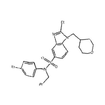 CCc1ccc(N(CC(C)C)S(=O)(=O)c2ccc3c(c2)nc(CC)n3CC2CCOCC2)cc1